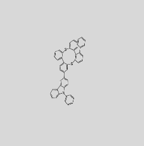 c1ccc(-c2cccc3c2-c2ccccc2Sc2ccccc2-c2ccc(-c4ccc5c(c4)c4ccccc4n5-c4ccccc4)cc2S3)cc1